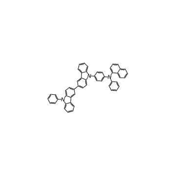 c1ccc(N(c2ccc(-n3c4ccccc4c4cc(-c5ccc6c(c5)c5ccccc5n6-c5ccccc5)ccc43)cc2)c2cccc3ccccc23)cc1